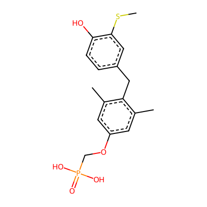 CSc1cc(Cc2c(C)cc(OCP(=O)(O)O)cc2C)ccc1O